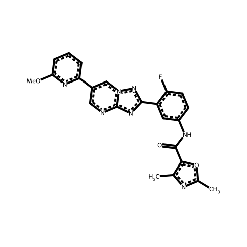 COc1cccc(-c2cnc3nc(-c4cc(NC(=O)c5oc(C)nc5C)ccc4F)nn3c2)n1